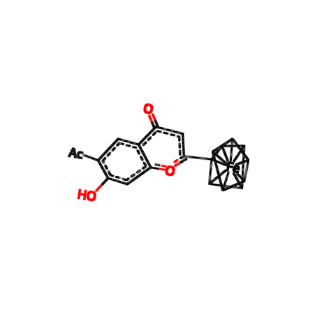 CC(=O)c1cc2c(=O)cc([C]34[CH]5[CH]6[CH]7[CH]3[Fe]6754389%10[CH]4[CH]3[CH]8[CH]9[CH]4%10)oc2cc1O